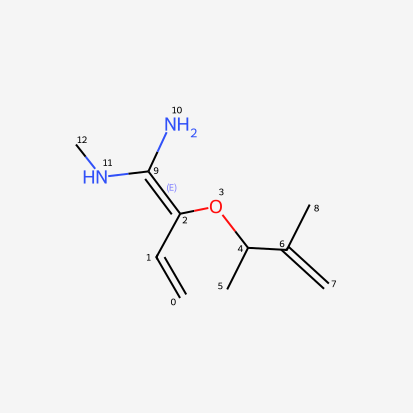 C=C/C(OC(C)C(=C)C)=C(/N)NC